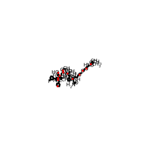 CNC(=O)[C@H](CCN(C(=O)CO)[C@@H](c1cc(-c2cc(F)ccc2F)cn1Cc1ccccc1)C(C)(C)C)NC(=O)[C@@H](NC(=O)[C@@H]1CCCN1C(=O)[C@H](CC(N)=O)NC(=O)CCOCCOCCOCCNC(=O)OC(C)(C)C)C(C)C